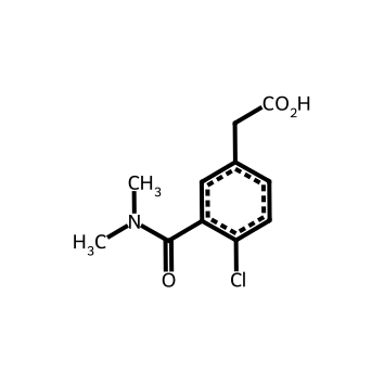 CN(C)C(=O)c1cc(CC(=O)O)ccc1Cl